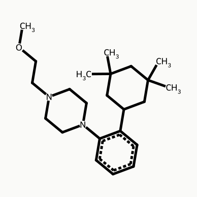 COCCN1CCN(c2ccccc2C2CC(C)(C)CC(C)(C)C2)CC1